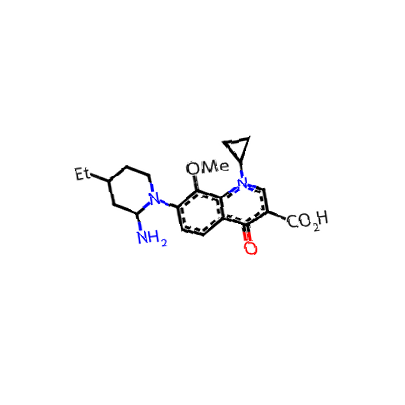 CCC1CCN(c2ccc3c(=O)c(C(=O)O)cn(C4CC4)c3c2OC)C(N)C1